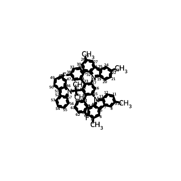 Cc1ccc2c(c1)c1cc(C)ccc1n2-c1cc(-n2c3ccc(C)cc3c3cc(C)ccc32)c(-c2cccc(F)c2)c(C(C)(C)n2c3ccccc3c3ccccc32)c1-c1cccc(F)c1